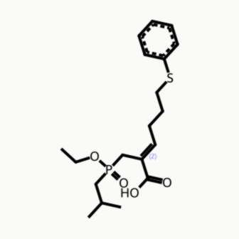 CCOP(=O)(C/C(=C\CCCSc1ccccc1)C(=O)O)CC(C)C